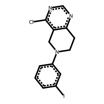 Clc1ncnc2c1CN(c1cccc(I)c1)CC2